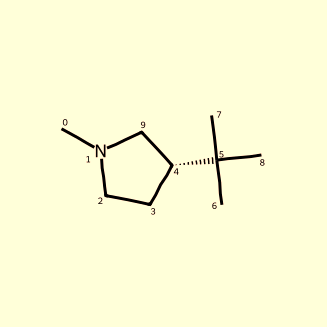 CN1CC[C@@H](C(C)(C)C)C1